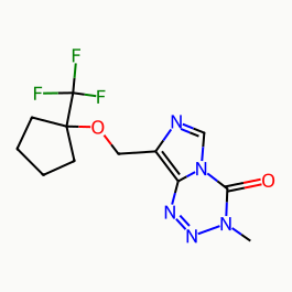 Cn1nnc2c(COC3(C(F)(F)F)CCCC3)ncn2c1=O